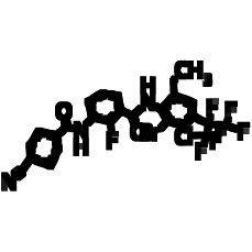 CCc1cc(C(F)(C(F)(F)F)C(F)(F)Cl)cc(Br)c1NC(=O)c1cccc(NC(=O)c2ccc(C#N)cc2)c1F